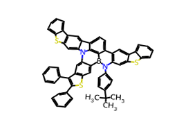 CC(C)(C)c1ccc(N2B3c4cc5sc(-c6ccccc6)c(-c6ccccc6)c5cc4-n4c5cc6sc7ccccc7c6cc5c5ccc(c3c54)-c3cc4c(cc32)sc2ccccc24)cc1